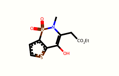 CCOC(=O)CC1=C(O)c2sccc2S(=O)(=O)N1C